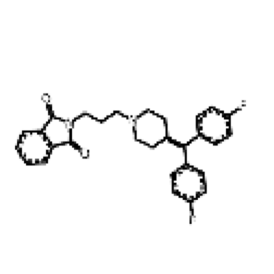 O=C1c2ccccc2C(=O)N1CCCN1CCC(=C(c2ccc(F)cc2)c2ccc(F)cc2)CC1